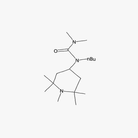 CCCCN(C(=O)N(C)C)C1CC(C)(C)N(C)C(C)(C)C1